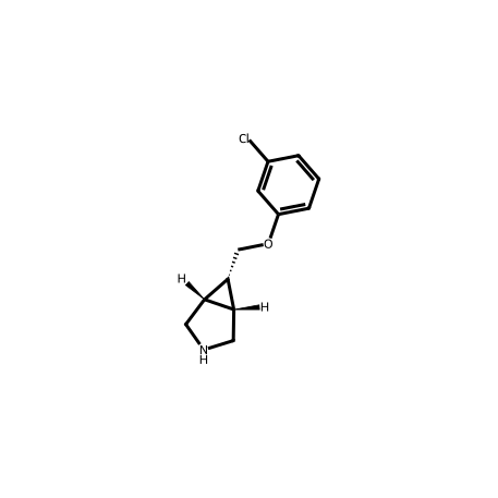 Clc1cccc(OC[C@@H]2[C@@H]3CNC[C@@H]32)c1